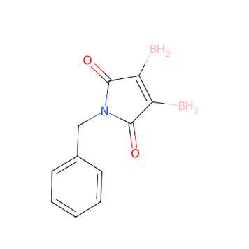 BC1=C(B)C(=O)N(Cc2ccccc2)C1=O